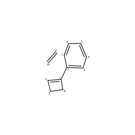 C1=C(c2ccccc2)CC1.C=C